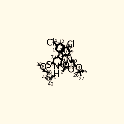 C=C(C)[C@@H]1NC(=S)C[C@@H](c2cccc(Cl)c2)[C@]12C(=O)N(CC(=O)OC(C)(C)C)c1cc(Cl)ccc12.COCC[Si](C)(C)C